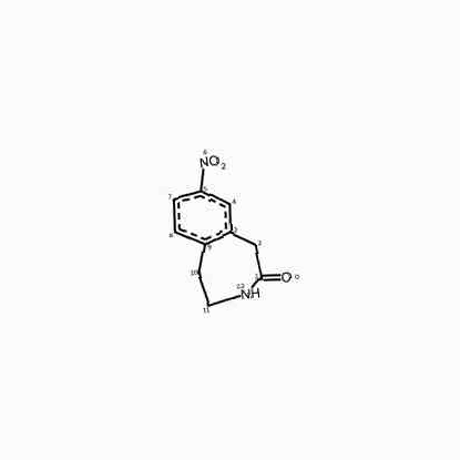 O=C1Cc2cc([N+](=O)[O-])ccc2CCN1